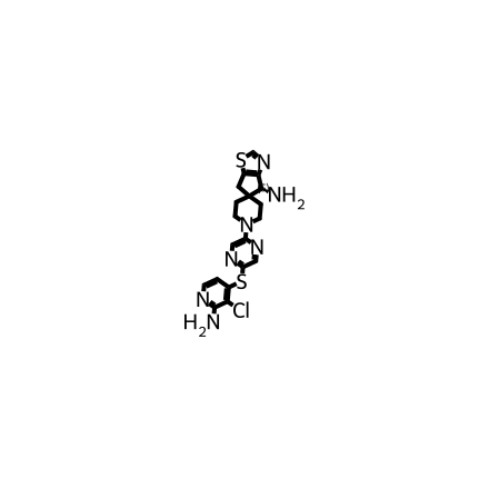 Nc1nccc(Sc2cnc(N3CCC4(CC3)Cc3scnc3[C@H]4N)cn2)c1Cl